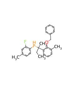 CCC(C)(Pc1ccc(C)cc1F)c1cccc(C)c1OCc1ccccc1